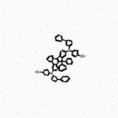 CC(C)(C)c1ccc(N(c2cccc(-c3ccccc3)c2)c2ccc3c(c2)C(c2ccccc2)(c2ccccc2)c2c-3c3ccccc3c3cc(N(c4ccc(C(C)(C)C)cc4)c4cccc(-c5ccccc5)c4)ccc23)cc1